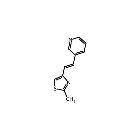 Cc1nc(C=Cc2cccnc2)cs1